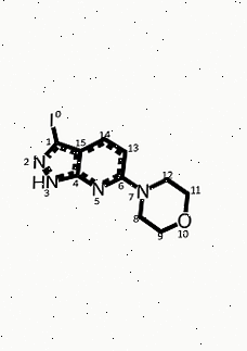 Ic1n[nH]c2nc(N3CCOCC3)ccc12